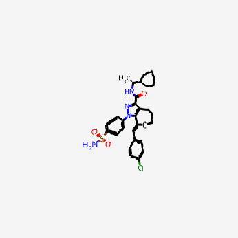 C[C@@H](NC(=O)c1nn(-c2ccc(S(N)(=O)=O)cc2)c2c1CCCC/C2=C\c1ccc(Cl)cc1)C1CCCCC1